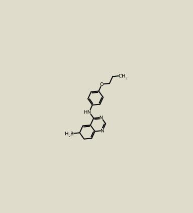 BC1C=c2c(Nc3ccc(OCCC)cc3)ncnc2=CC1